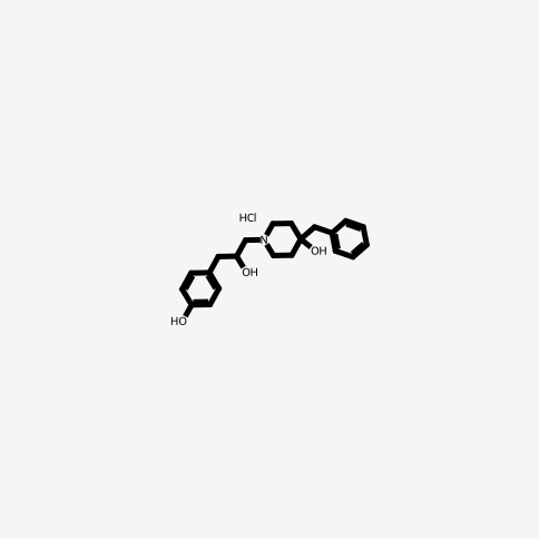 Cl.Oc1ccc(CC(O)CN2CCC(O)(Cc3ccccc3)CC2)cc1